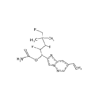 C=Cc1cnn2cc(C(OC(N)=O)C(F)C(F)C(C)(C)CF)nc2c1